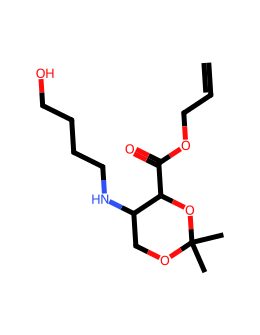 C=CCOC(=O)C1OC(C)(C)OCC1NCCCCO